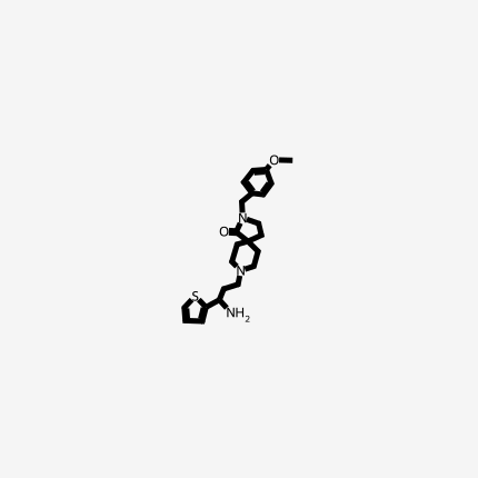 COc1ccc(CN2CCC3(CCN(CCC(N)c4cccs4)CC3)C2=O)cc1